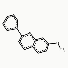 COc1ccc2ccc(-c3ccccc3)nc2c1